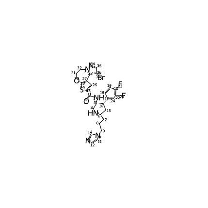 O=C(N[C@@H]1CN[C@H](CCCn2ccnc2)C[C@H]1c1ccc(F)c(F)c1)c1cc2c(s1)OCCn1ncc(Br)c1-2